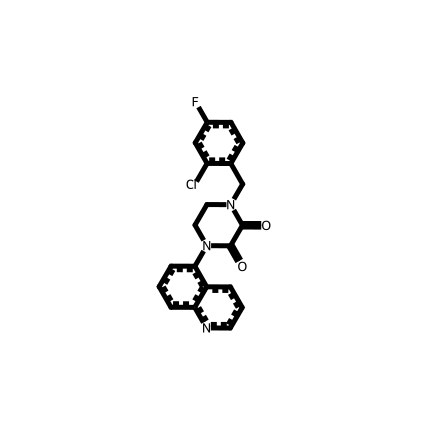 O=C1C(=O)N(c2cccc3ncccc23)CCN1Cc1ccc(F)cc1Cl